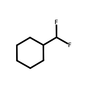 FC(F)C1CCCCC1